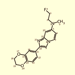 CN(CCF)c1ccn2cc(-c3ccc4c(c3)OCCO4)nc2c1